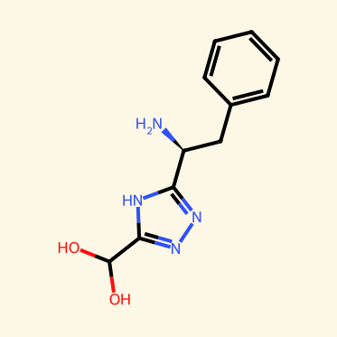 N[C@@H](Cc1ccccc1)c1nnc(C(O)O)[nH]1